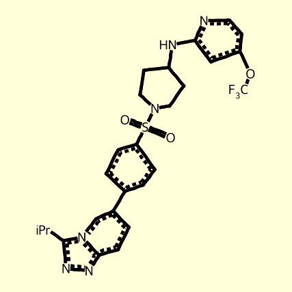 CC(C)c1nnc2ccc(-c3ccc(S(=O)(=O)N4CCC(Nc5cc(OC(F)(F)F)ccn5)CC4)cc3)cn12